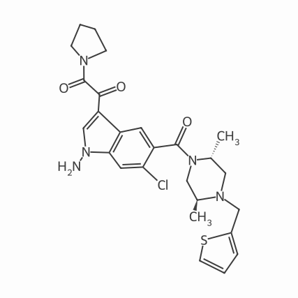 C[C@@H]1CN(Cc2cccs2)[C@@H](C)CN1C(=O)c1cc2c(C(=O)C(=O)N3CCCC3)cn(N)c2cc1Cl